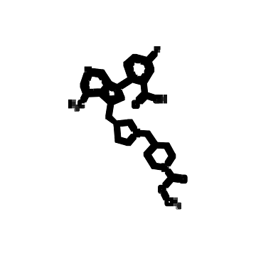 COC(=O)N1CCC(CN2CC[C@@H](Cc3cn(-c4ccc(F)cc4C(=O)O)c4cncc(C)c34)C2)CC1